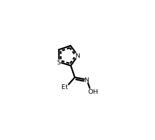 CCC(=NO)c1nccs1